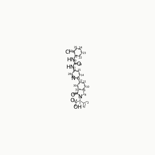 CC(C)C(C(=O)O)N1Cc2ccc(-c3ccc(NC(=O)Nc4ccccc4Cl)cn3)cc2C1=O